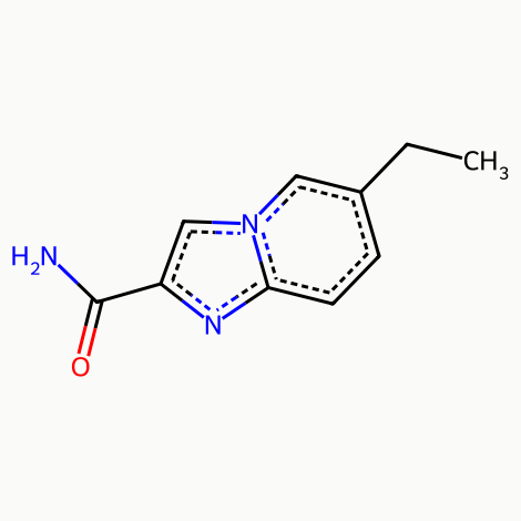 CCc1ccc2nc(C(N)=O)cn2c1